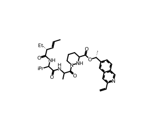 C=Cc1cc2cc([C@@H](C)OC(=O)C3CCCN(C(=O)C(C)NC(=O)C(NC(=O)[C@@H](/C=C/C)CC)C(C)C)N3)ccc2cn1